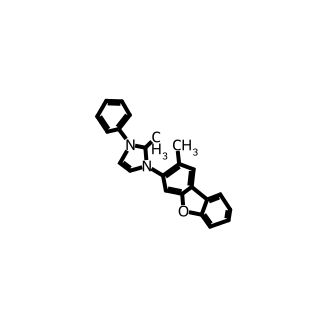 Cc1cc2c(cc1N1C=CN(c3ccccc3)C1C)oc1ccccc12